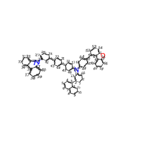 c1cc(-c2cccc3ccccc23)cc(N(c2ccc(-c3ccc(-c4cccc(-n5c6ccccc6c6ccccc65)c4)cc3)cc2)c2ccc(-c3cccc4oc5ccccc5c34)cc2)c1